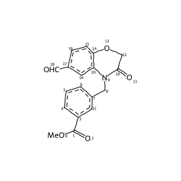 COC(=O)c1cccc(CN2C(=O)COc3ccc(C=O)cc32)c1